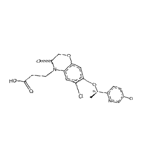 C[C@@H](Oc1cc2c(cc1Cl)N(CCC(=O)O)C(=O)CO2)c1ccc(Cl)cn1